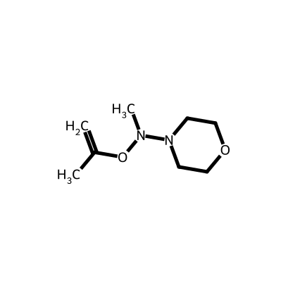 C=C(C)ON(C)N1CCOCC1